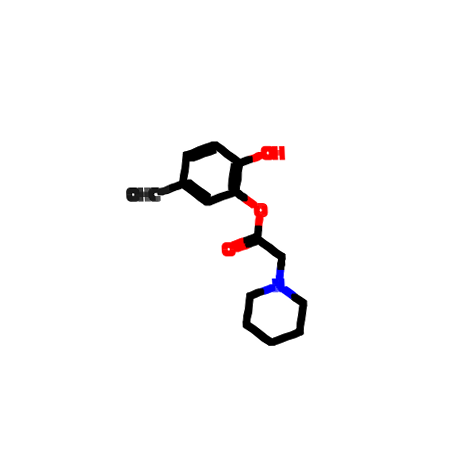 O=Cc1ccc(O)c(OC(=O)CN2CCCCC2)c1